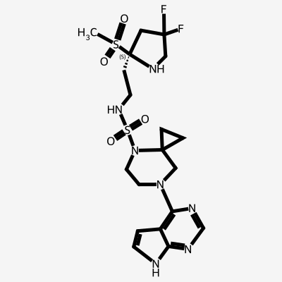 CS(=O)(=O)[C@@]1(CCNS(=O)(=O)N2CCN(c3ncnc4[nH]ccc34)CC23CC3)CC(F)(F)CN1